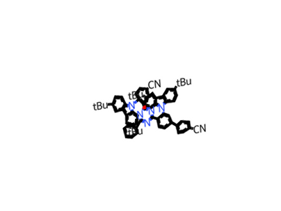 CC(C)(C)c1ccc2c(c1)c1cc(C(C)(C)C)ccc1n2-c1ccc(C#N)cc1-c1nc(-c2ccccc2)nc(-c2ccc(-c3ccc(C#N)cc3)cc2-n2c3ccc(C(C)(C)C)cc3c3cc(C(C)(C)C)ccc32)n1